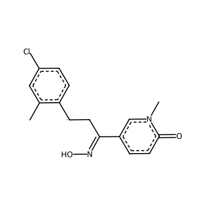 Cc1cc(Cl)ccc1[CH]CC(=NO)c1ccc(=O)n(C)c1